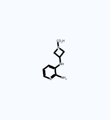 Nc1ncccc1NC1CN(C(=O)O)C1